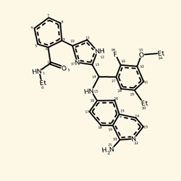 CCNC(=O)c1ccccc1-c1c[nH]c(C(Nc2ccc3c(N)nccc3c2)c2cc(CC)cc(OCC)c2F)n1